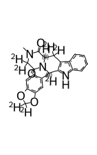 [2H]C1([2H])Oc2ccc([C@]3([2H])c4[nH]c5ccccc5c4C([2H])([2H])[C@@H]4C(=O)N(C)C([2H])([2H])C(=O)N43)cc2O1